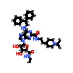 CCNC(=O)[C@H]1O[C@@H](n2cnc3c(NCC(c4ccccc4)c4ccccc4)nc(C(=O)NCCC4CCN(C(C)C)CC4)nc32)[C@@H](O)[C@@H]1O